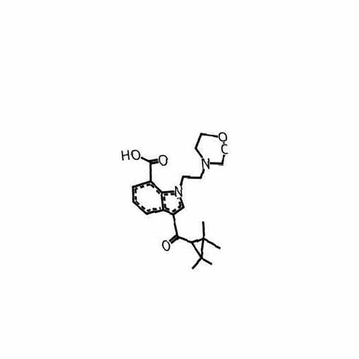 CC1(C)C(C(=O)c2cn(CCN3CCOCC3)c3c(C(=O)O)cccc23)C1(C)C